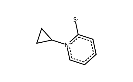 [S]c1cccc[n+]1C1CC1